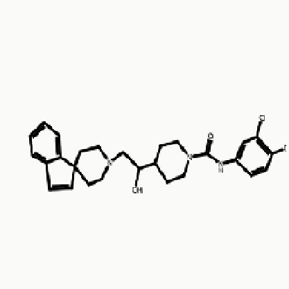 O=C(Nc1ccc(Cl)c(Cl)c1)N1CCC(C(O)CN2CCC3(C=Cc4ccccc43)CC2)CC1